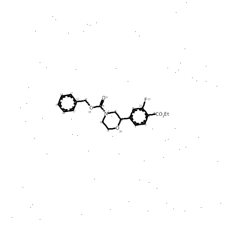 CCOC(=O)c1ccc(C2CN(C(=O)OCc3ccccc3)CCO2)cc1F